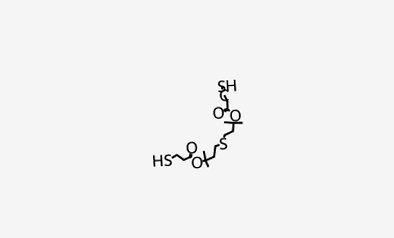 CC(C)(CCSCCC(C)(C)OC(=O)CCS)OC(=O)CCS